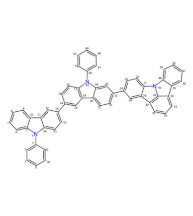 c1ccc(-n2c3ccccc3c3cc(-c4ccc5c(c4)c4ccc(-c6ccc7c(c6)c6cccc8c9ccccc9n7c86)cc4n5-c4ccccc4)ccc32)cc1